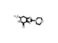 CC1Cc2nc(N3CCOCC3)sc2C(=O)N1